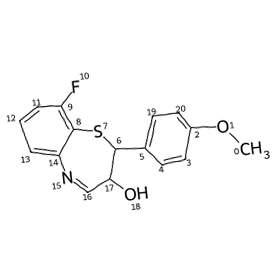 COc1ccc(C2Sc3c(F)cccc3N=CC2O)cc1